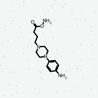 NOC(=O)CCCN1CCN(c2ccc(N)cc2)CC1